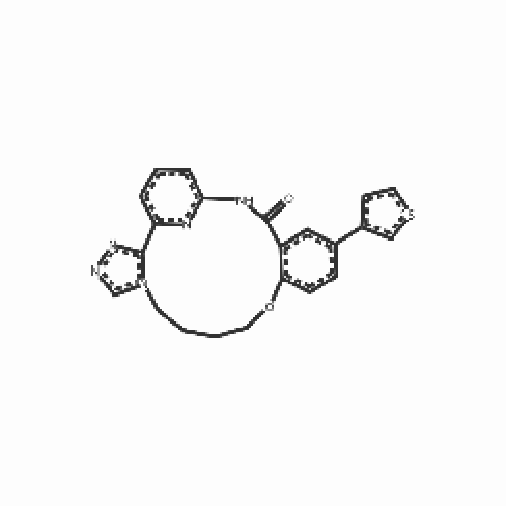 O=C1Nc2cccc(n2)-c2nncn2CCCCOc2ccc(-c3ccsc3)cc21